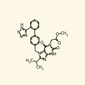 COC(=O)Cn1c(=O)[nH]c2nc(C(C)C)n(Cc3ccc(-c4ccccc4-c4nnn[nH]4)cc3)c2c1=O